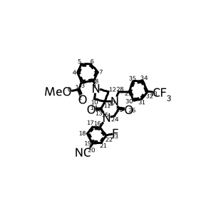 COC(=O)c1ccccc1N1CC2(C1)C(=O)N(c1ccc(C#N)cc1F)CC(=O)N2Cc1ccc(C(F)(F)F)cc1